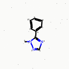 Cn1ncnc1-c1ccccc1